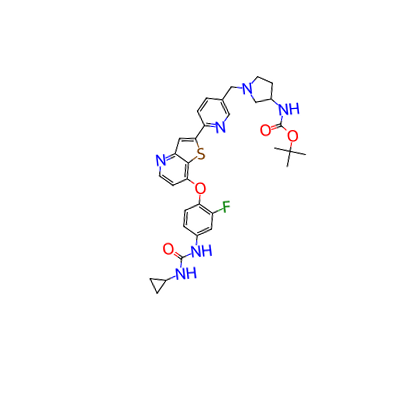 CC(C)(C)OC(=O)NC1CCN(Cc2ccc(-c3cc4nccc(Oc5ccc(NC(=O)NC6CC6)cc5F)c4s3)nc2)C1